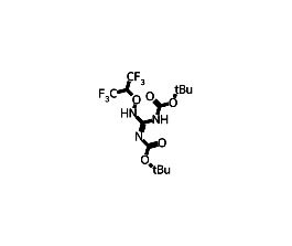 CC(C)(C)OC(=O)/N=C(/NOC(C(F)(F)F)C(F)(F)F)NC(=O)OC(C)(C)C